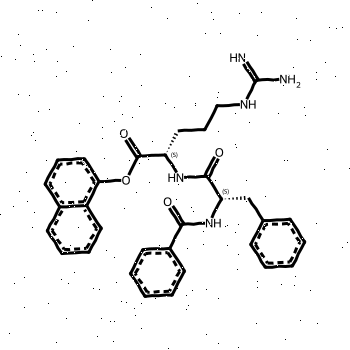 N=C(N)NCCC[C@H](NC(=O)[C@H](Cc1ccccc1)NC(=O)c1ccccc1)C(=O)Oc1cccc2ccccc12